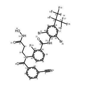 N#Cc1cccc(C(=O)N(CCC(=O)NO)c2cccc(C(=O)Nc3c(Br)cc(C(F)(C(F)(F)F)C(F)(F)F)cc3Br)c2F)c1